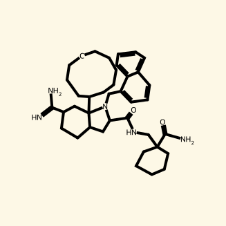 N=C(N)C1CCC2CC(C(=O)NCC3(C(N)=O)CCCCC3)N(Cc3cccc4ccccc34)C2(C2CCCCCCCCC2)C1